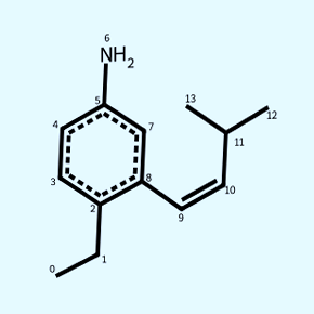 CCc1ccc(N)cc1/C=C\C(C)C